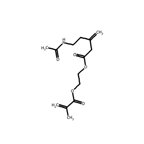 C=C(CCNC(C)=O)CC(=O)OCCOC(=O)C(=C)C